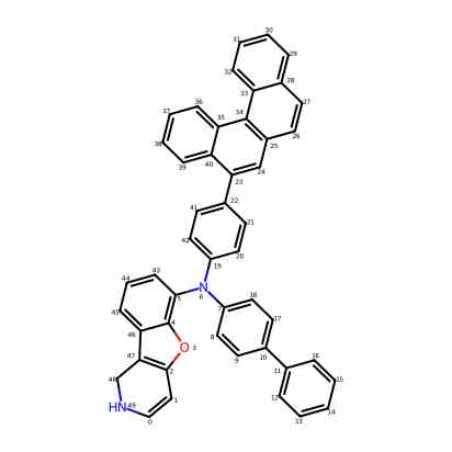 C1=Cc2oc3c(N(c4ccc(-c5ccccc5)cc4)c4ccc(-c5cc6ccc7ccccc7c6c6ccccc56)cc4)cccc3c2CN1